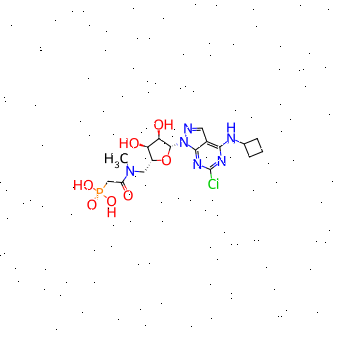 CN(C[C@H]1O[C@@H](n2ncc3c(NC4CCC4)nc(Cl)nc32)[C@H](O)[C@@H]1O)C(=O)CP(=O)(O)O